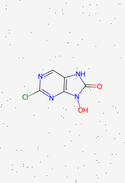 O=c1[nH]c2cnc(Cl)nc2n1O